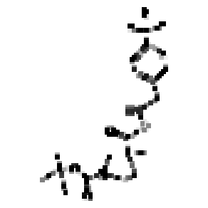 CC(C)(C)OC(=O)N1CCC(C)(C(=O)ONCc2ccc(C(F)(F)F)cc2)C1